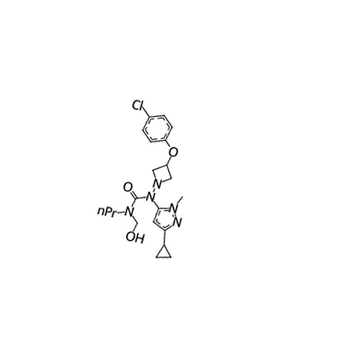 CCCN(CO)C(=O)N(c1cc(C2CC2)nn1C)N1CC(Oc2ccc(Cl)cc2)C1